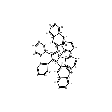 c1ccc(C2=C(c3cnc4ccccc4c3)[Si](c3ccccc3)(c3ccccc3)C(c3cnc4ccccc4c3)=C2c2ccccc2)cc1